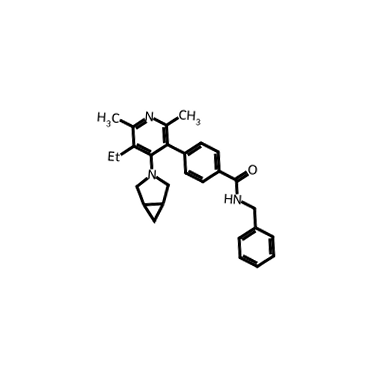 CCc1c(C)nc(C)c(-c2ccc(C(=O)NCc3ccccc3)cc2)c1N1CC2CC2C1